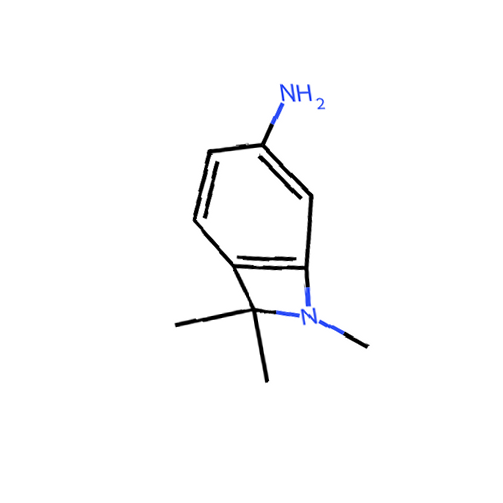 CN1c2cc(N)ccc2C1(C)C